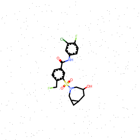 O=C(Nc1ccc(F)c(Cl)c1)c1ccc(CF)c(S(=O)(=O)N2CC(O)CC3CC3C2)c1